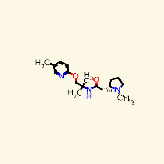 Cc1ccc(OCC(C)(C)NC(=O)C[C@@H]2CCCN2C)nc1